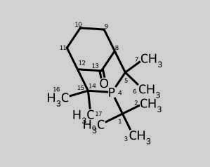 CC(C)(C)P1C(C)(C)C2CCCC(C2=O)C1(C)C